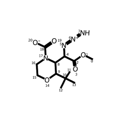 COC(=O)C(N=[N+]=N)C1C(C(C)(C)C)OCCN1C(=O)[O-]